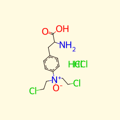 Cl.Cl.NC(Cc1ccc([N+]([O-])(CCCl)CCCl)cc1)C(=O)O